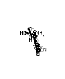 N#Cc1cc(Cl)cc(Oc2c(Br)ccc(CC(=O)Nc3ccc(C(N)=O)c(CCN(CCO)CCO)c3Cl)c2F)c1